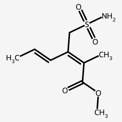 C/C=C/C(CS(N)(=O)=O)=C(/C)C(=O)OC